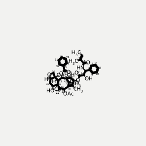 C/C=C(\C)C(=O)N[C@@H](c1ccccc1)[C@@H](O)C(=O)O[C@H]1CC2(O)[C@@H](OC(=O)c3ccccc3)[C@@H]3[C@]4(OC(C)=O)CO[C@@H]4C[C@H](O)[C@@]3(C)C(=O)[C@H](OC(C)=O)C(=C1C)C2(C)C